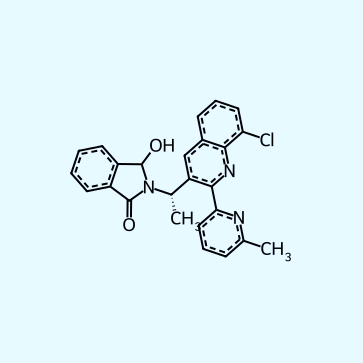 Cc1cccc(-c2nc3c(Cl)cccc3cc2[C@H](C)N2C(=O)c3ccccc3C2O)n1